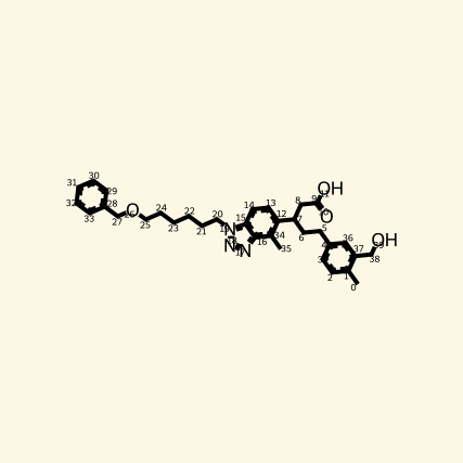 Cc1ccc(CCC(CC(=O)O)c2ccc3c(nnn3CCCCCCOCc3ccccc3)c2C)cc1CO